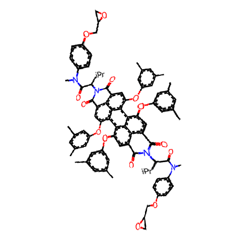 Cc1cc(C)cc(Oc2cc3c4c(cc(Oc5cc(C)cc(C)c5)c5c6c(Oc7cc(C)cc(C)c7)cc7c8c(cc(Oc9cc(C)cc(C)c9)c(c2c45)c86)C(=O)N(C(C(=O)N(C)c2ccc(OCC4CO4)cc2)C(C)C)C7=O)C(=O)N(C(C(=O)N(C)c2ccc(OCC4CO4)cc2)C(C)C)C3=O)c1